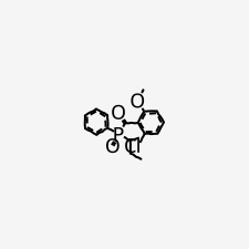 CCC(C)P(=O)(C(=O)c1c(Cl)cccc1OC)c1ccccc1